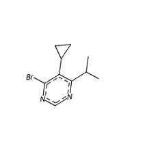 CC(C)c1ncnc(Br)c1C1CC1